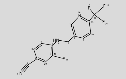 N#Cc1ccc(NCc2ccc(C(F)(F)F)nc2)c(F)c1